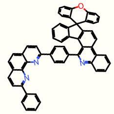 c1ccc(-c2ccc3ccc4ccc(-c5ccc(-c6nc7ccccc7c7ccc8c(c67)-c6ccccc6C86c7ccccc7Oc7ccccc76)cc5)nc4c3n2)cc1